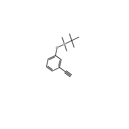 C#Cc1cccc(O[Si](C)(C)C(C)(C)C)c1